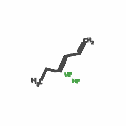 C=CC=CCC.F.F